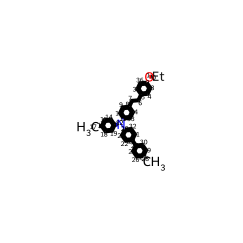 CCOc1ccc(CCc2ccc(N(c3ccc(C)cc3)c3ccc(-c4ccc(C)cc4)cc3)cc2)cc1